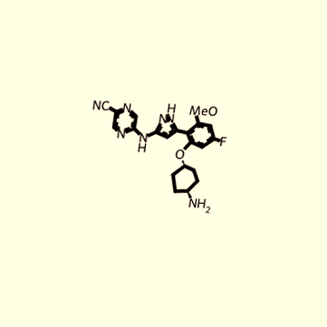 COc1cc(F)cc(O[C@H]2CC[C@H](N)CC2)c1-c1cc(Nc2cnc(C#N)cn2)n[nH]1